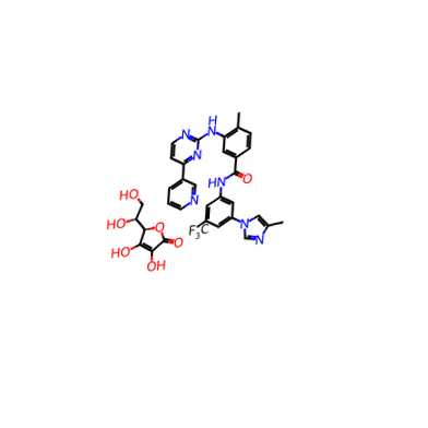 Cc1cn(-c2cc(NC(=O)c3ccc(C)c(Nc4nccc(-c5cccnc5)n4)c3)cc(C(F)(F)F)c2)cn1.O=C1O[C@H]([C@@H](O)CO)C(O)=C1O